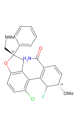 CNC[C@@]1(c2ccccc2)Cc2c(ccc(Cl)c2C2=C(C(N)=O)C=C[C@H](OC)C2F)O1